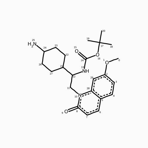 COc1ccc2ccc(=O)n(CC(NC(=O)OC(C)(C)C)C3CCC(N)CC3)c2c1